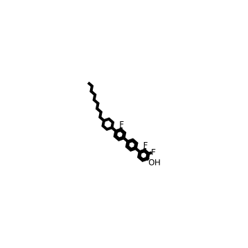 CCCCCCCCCC1CCC(c2ccc(-c3ccc(-c4ccc(O)c(F)c4F)cc3)cc2F)CC1